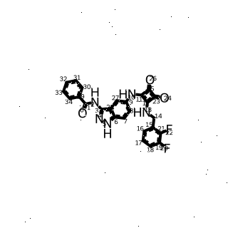 O=C(Nc1n[nH]c2ccc(Nc3c(NCc4cccc(F)c4F)c(=O)c3=O)cc12)c1ccccc1